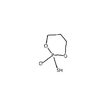 S[P]1(Cl)OCCCO1